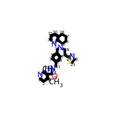 Cc1ccnc(C)c1C(=O)NCc1ccc(CN(CCC2=NCCS2)C2CCCc3cccnc32)cc1